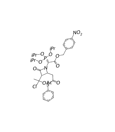 CC(=O)OC(C)(Cl)C1C(=O)N(C(C(=O)OCc2ccc([N+](=O)[O-])cc2)=P(OC(C)C)(OC(C)C)OC(C)C)C1CC(=O)Sc1ccccc1